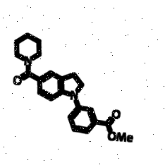 COC(=O)c1cccc(N2CCc3cc(C(=O)N4CCCCC4)ccc32)c1